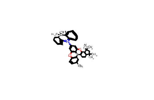 CC(C)(C)c1ccc2c(c1)B1c3ccc4c(c3Oc3cc(N5c6ccccc6[Si](C)(C)c6ccccc65)cc(c31)O2)C(C)(C)CC4(C)C